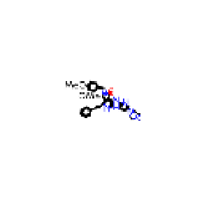 COc1ccc(CN2Cc3c(C#Cc4ccccc4)ncc(Nc4ccc(N5CCN(C)CC5)cn4)c3C2=O)c(OC)c1